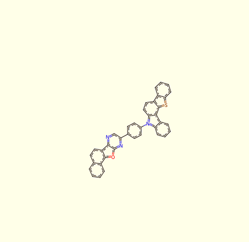 c1ccc2c(c1)ccc1c3ncc(-c4ccc(-n5c6ccccc6c6c7sc8ccccc8c7ccc65)cc4)nc3oc21